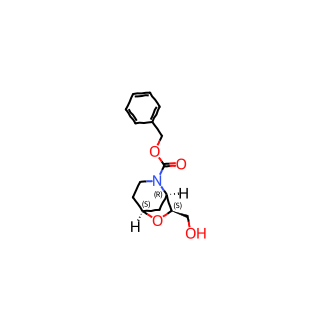 O=C(OCc1ccccc1)N1CC[C@H]2C[C@@H]1[C@@H](CO)O2